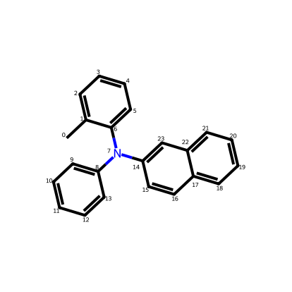 Cc1ccccc1N(c1ccccc1)c1ccc2ccccc2c1